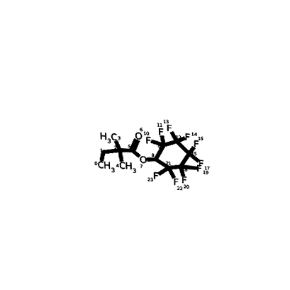 CCC(C)(C)C(=O)OC1C(F)(F)C(F)(F)C(F)(F)C(F)(F)C1(F)F